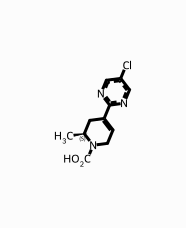 C[C@H]1CC(c2ncc(Cl)cn2)=CCN1C(=O)O